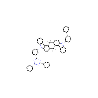 CC1(C)c2ccc3c(c2C(C)(C)c2ccc4c(c21)c1ccccc1n4-c1cccc(-c2ccccc2)c1)c1ccccc1n3-c1cccc(C2N=C(c3ccccc3)N=C(c3ccccc3)N2)c1